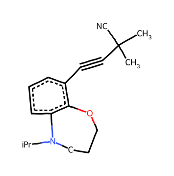 CC(C)N1CCCOc2c(C#CC(C)(C)C#N)cccc21